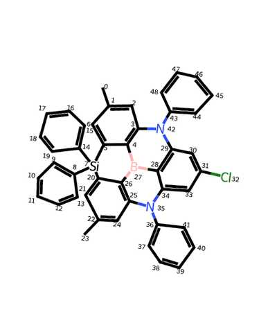 Cc1cc2c3c(c1)[Si](c1ccccc1)(c1ccccc1)c1cc(C)cc4c1B3c1c(cc(Cl)cc1N4c1ccccc1)N2c1ccccc1